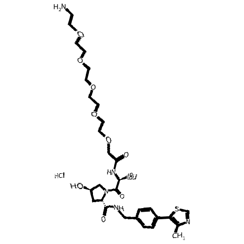 Cc1ncsc1-c1ccc(CNC(=O)[C@@H]2C[C@@H](O)CN2C(=O)[C@@H](NC(=O)COCCOCCOCCOCCOCCN)C(C)(C)C)cc1.Cl